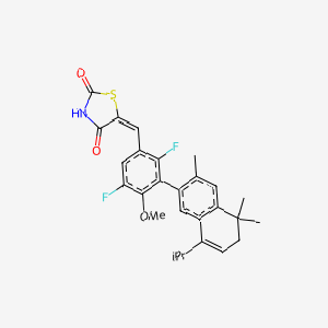 COc1c(F)cc(/C=C2/SC(=O)NC2=O)c(F)c1-c1cc2c(cc1C)C(C)(C)CC=C2C(C)C